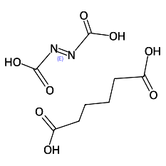 O=C(O)/N=N/C(=O)O.O=C(O)CCCCC(=O)O